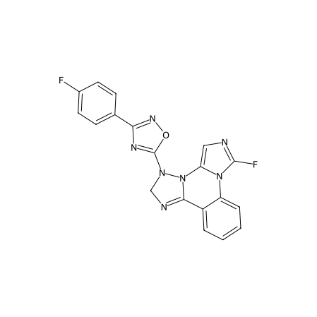 Fc1ccc(-c2noc(N3CN=C4c5ccccc5-n5c(cnc5F)N43)n2)cc1